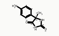 C[C@@]1(c2ccc(N)cc2)NC(=O)NC1=O